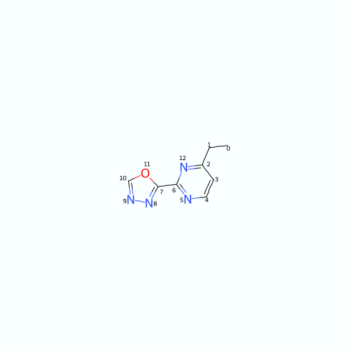 CCc1ccnc(-c2nnco2)n1